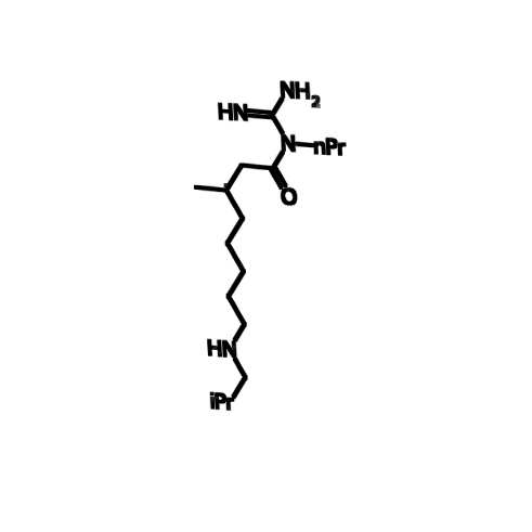 CCCN(C(=N)N)C(=O)C[C](C)CCCCCNCC(C)C